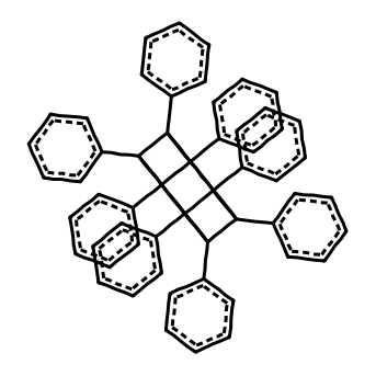 c1ccc(C23C4(c5ccccc5)C5(c6ccccc6)C2(c2ccccc2)C2(c6ccccc6)C3(c3ccccc3)C4(c3ccccc3)C52c2ccccc2)cc1